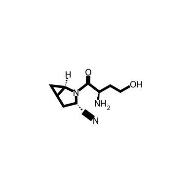 N#C[C@@H]1CC2C[C@H]2N1C(=O)[C@H](N)CCO